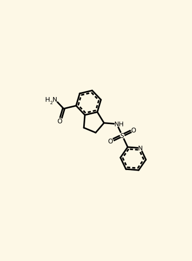 NC(=O)c1cccc2c1CCC2NS(=O)(=O)c1ccccn1